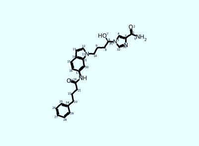 NC(=O)c1cn([C@H](O)CCCn2ccc3ccc(NC(=O)CCCc4ccccc4)cc32)cn1